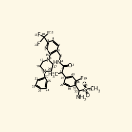 CC(C(=O)NCc1ccc(C(F)(F)F)nc1N1CCN(c2ccccc2)CC1)c1ccc(C(N)S(C)(=O)=O)c(F)c1